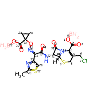 BOC(=O)C1=C(CCl)CS[C@@H]2[C@H](NC(=O)/C(=N\OC3(C(=O)OB)CC3)c3csc(C)n3)C(=O)N12